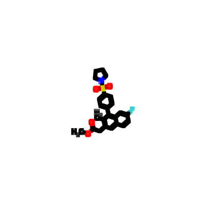 COC(=O)Cc1cc2ccc(F)cc2c(-c2ccc(S(=O)(=O)N3CCCC3)cc2)c1C